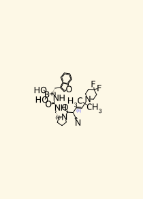 CC(C)(/C=C/C(C#N)C(=O)N1CCC[C@@H]1CNC(=O)N[C@@H](Cc1coc2ccccc12)B(O)O)N1CCC(F)(F)CC1